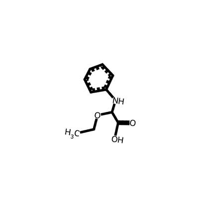 CCOC(Nc1ccccc1)C(=O)O